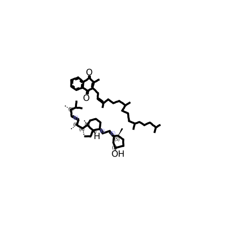 CC(=CCC1=C(C)C(=O)c2ccccc2C1=O)CCCC(C)CCCC(C)CCCC(C)C.CC(C)[C@@H](C)/C=C/[C@@H](C)[C@H]1CC[C@H]2/C(=C/C=C3\C[C@@H](O)CC[C@@H]3C)CCC[C@]12C